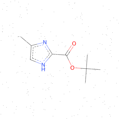 [CH2]c1c[nH]c(C(=O)OC(C)(C)C)n1